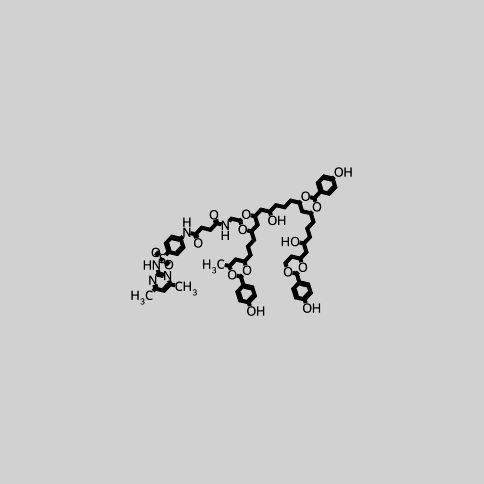 Cc1cc(C)nc(NS(=O)(=O)c2ccc(NC(=O)CCC(=O)NCC3OC(CCCC4CC(C)OC(c5ccc(O)cc5)O4)CC(CC(O)CCCC4CC(CCCC(O)CC5CCOC(c6ccc(O)cc6)O5)OC(c5ccc(O)cc5)O4)O3)cc2)n1